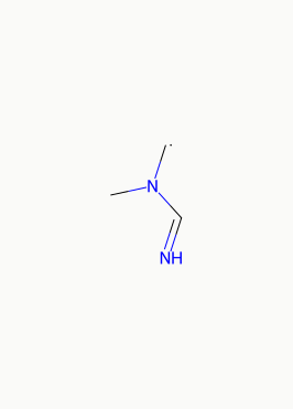 [CH2]N(C)C=N